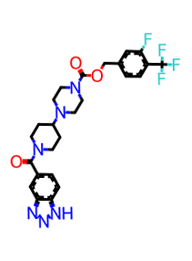 O=C(OCc1ccc(C(F)(F)F)c(F)c1)N1CCN(C2CCN(C(=O)c3ccc4[nH]nnc4c3)CC2)CC1